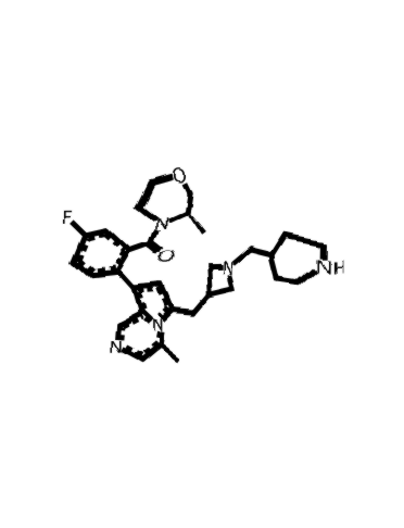 Cc1cncc2c(-c3ccc(F)cc3C(=O)N3CCOC[C@H]3C)cc(CC3CN(CC4CCNCC4)C3)n12